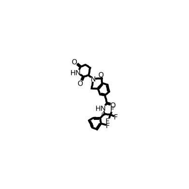 O=C1CCC(N2Cc3cc(C(=O)N[C@H](c4ccccc4F)C(F)(F)F)ccc3C2=O)C(=O)N1